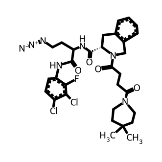 CC1(C)CCN(C(=O)CCC(=O)N2Cc3ccccc3C[C@H]2C(=O)NC(CCN=[N+]=[N-])C(=O)Nc2ccc(Cl)c(Cl)c2F)CC1